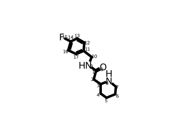 O=C(CC1CCCCN1)NCc1ccc(F)cc1